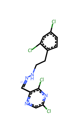 Clc1ccc(CCN/N=C\c2ncc(Cl)nc2Cl)c(Cl)c1